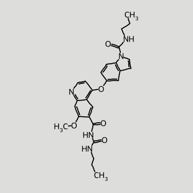 CCCNC(=O)NC(=O)c1cc2c(Oc3ccc4c(ccn4C(=O)NCCC)c3)ccnc2cc1OC